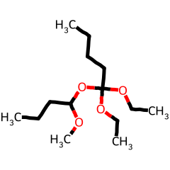 CCCCC(OCC)(OCC)OC(CCC)OC